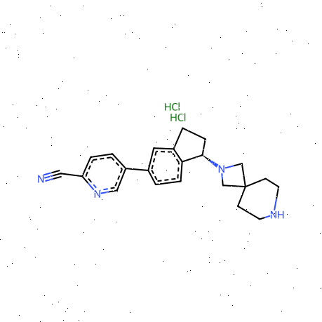 Cl.Cl.N#Cc1ccc(-c2ccc3c(c2)CC[C@H]3N2CC3(CCNCC3)C2)cn1